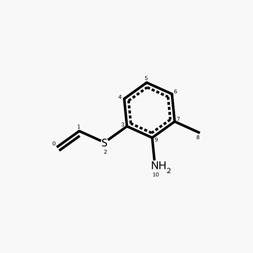 C=CSc1cccc(C)c1N